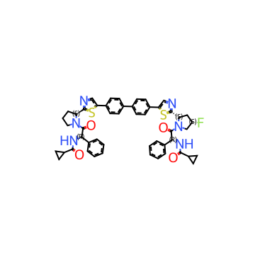 O=C(N[C@@H](C(=O)N1CCC[C@H]1c1ncc(-c2ccc(-c3ccc(-c4cnc([C@@H]5C[C@H](F)CN5C(=O)[C@H](NC(=O)C5CC5)c5ccccc5)s4)cc3)cc2)s1)c1ccccc1)C1CC1